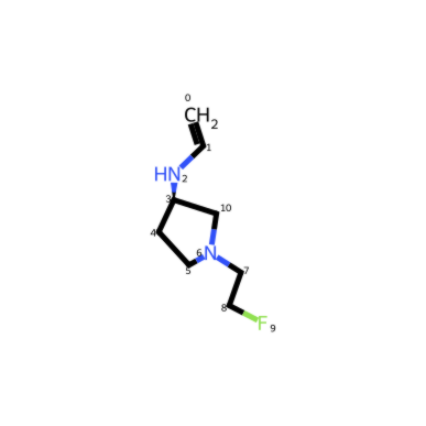 C=CN[C@@H]1CCN(CCF)C1